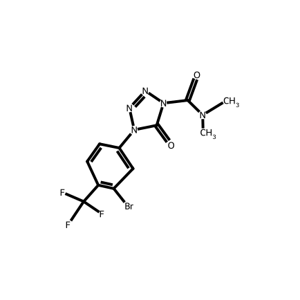 CN(C)C(=O)n1nnn(-c2ccc(C(F)(F)F)c(Br)c2)c1=O